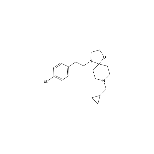 CCc1ccc(CCN2CCOC23CCN(CC2CC2)CC3)cc1